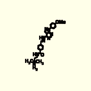 COc1ccc(-n2ncc3c(N/N=C/c4ccc(C(=O)NCCC(C)(C)N)cc4)ncnc32)cc1